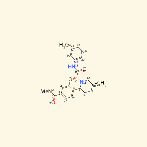 CNC(=O)c1ccc(C2CC[C@H](C)CN2C(=O)C(=O)Nc2cncc(C)c2)cc1